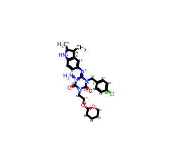 CC1Nc2ccc(/N=c3\n(N)c(=O)n(CCOC4CCCCO4)c(=O)n3Cc3ccc(Cl)cc3)cc2C1C